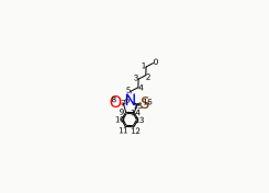 CCCCCCN1C(=O)c2ccccc2C1=S